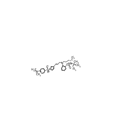 CCCCCN(CC=Cc1ccn(S(=O)(=O)c2ccc(N(C)C)cc2)c1)c1ccccc1OC(=O)NC(C)(C)C